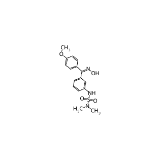 COc1ccc(C(=NO)c2cccc(NS(=O)(=O)N(C)C)c2)cc1